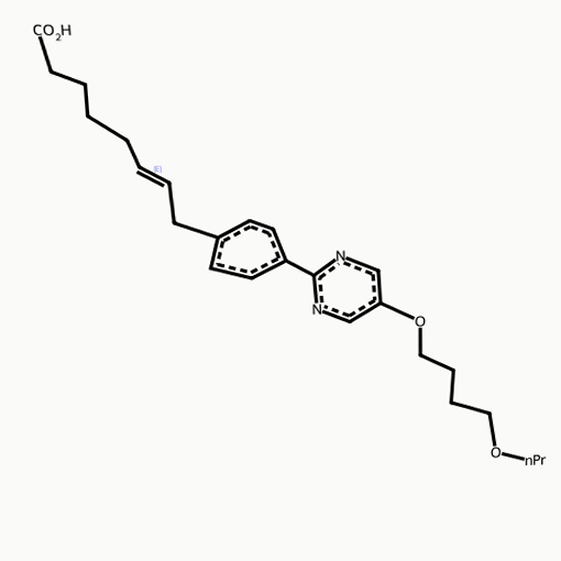 CCCOCCCCOc1cnc(-c2ccc(C/C=C/CCCCC(=O)O)cc2)nc1